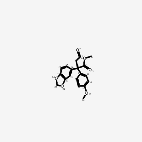 COC(=O)C(CC=O)(c1ccc(OC)cc1)c1ccc2c(c1)OCO2